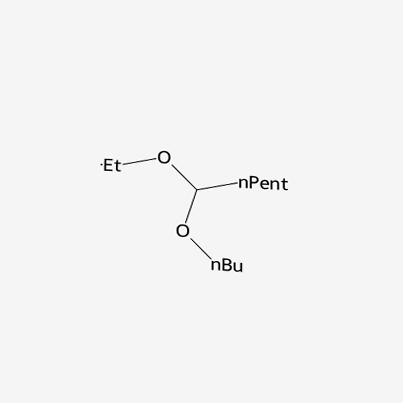 C[CH]OC(CCCCC)OCCCC